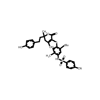 Cc1cc(SC2=C(O)CC(C)(CCc3ccc(O)cc3)OC2=O)c(C(C)(C)C)cc1NS(=O)(=O)c1ccc(C#N)cc1